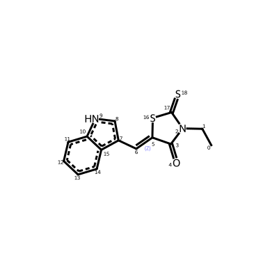 CCN1C(=O)/C(=C/c2c[nH]c3ccccc23)SC1=S